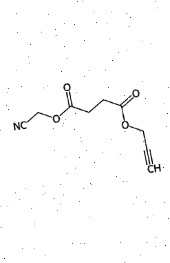 C#CCOC(=O)CCC(=O)OCC#N